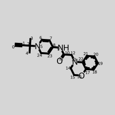 C#CC(C)(C)N1C=CC(NC(=O)CN2CCOc3ccccc32)=CC1